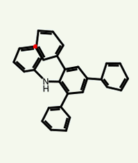 c1ccc(Nc2c(-c3ccccc3)cc(-c3ccccc3)cc2-c2ccccc2)cc1